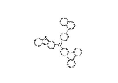 c1ccc2c(-c3ccc(N(c4ccc5c(c4)sc4ccccc45)c4ccc5c6ccccc6c6ccccc6c5c4)cc3)cccc2c1